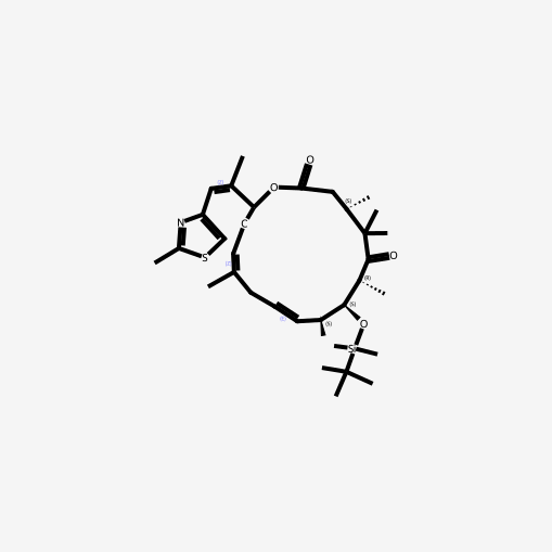 C/C1=C/CC(/C(C)=C\c2csc(C)n2)OC(=O)C[C@H](C)C(C)(C)C(=O)[C@H](C)[C@@H](O[Si](C)(C)C(C)(C)C)[C@@H](C)/C=C/C1